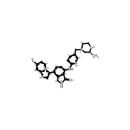 C[C@H]1CN(Cc2ccc(Nc3ccc(-c4cnc5cc(F)ccn45)c4c3C(=O)NC4)nc2)CCO1